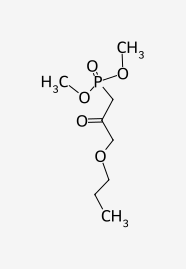 CCCOCC(=O)CP(=O)(OC)OC